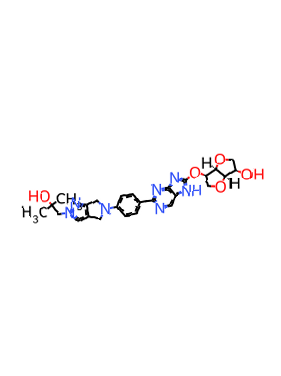 CC(C)(O)Cn1cc2c(n1)CN(c1ccc(-c3ncc4[nH]c(O[C@@H]5CO[C@H]6[C@@H]5OC[C@H]6O)nc4n3)cc1)C2